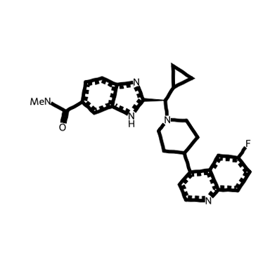 CNC(=O)c1ccc2nc([C@@H](C3CC3)N3CCC(c4ccnc5ccc(F)cc45)CC3)[nH]c2c1